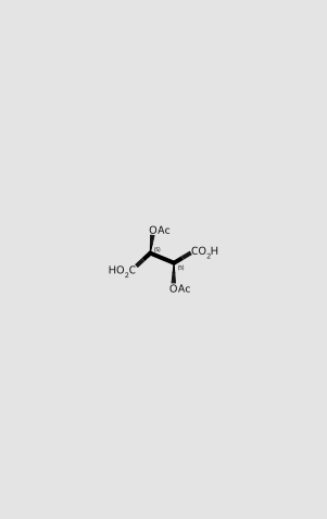 CC(=O)O[C@H](C(=O)O)[C@H](OC(C)=O)C(=O)O